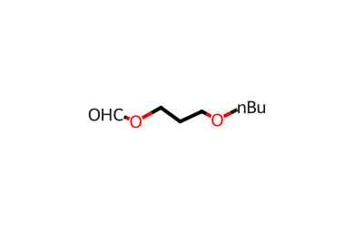 CCCCOCCCOC=O